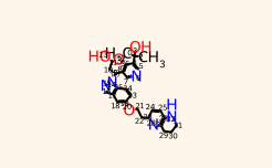 CC(C)(O)c1cncc([C@H](CC(=O)O)n2ncc3cc(OCCc4ccc5c(n4)CCCN5)ccc32)c1